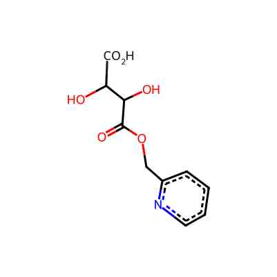 O=C(O)C(O)C(O)C(=O)OCc1ccccn1